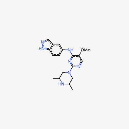 COc1cnc(N2CC(C)NC(C)C2)nc1Nc1ccc2[nH]ncc2c1